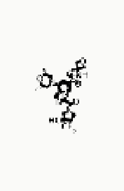 C[C@H]1CN(c2cc(S(=O)(=O)NC3(C)COC3)cn3c(C(=O)N4CC[C@](O)(C(F)(F)F)C4)ncc23)C[C@H](C)O1